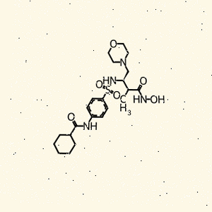 CC(C(=O)NO)[C@H](CN1CCOCC1)NS(=O)(=O)c1ccc(NC(=O)C2CCCCC2)cc1